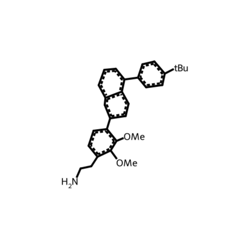 COc1c(CCN)ccc(-c2ccc3c(-c4ccc(C(C)(C)C)cc4)cccc3c2)c1OC